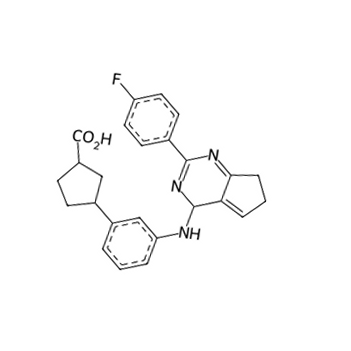 O=C(O)C1CCC(c2cccc(NC3N=C(c4ccc(F)cc4)N=C4CCC=C43)c2)C1